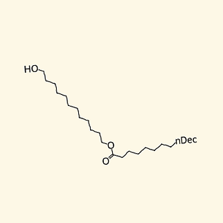 CCCCCCCCCCCCCCCCCC(=O)OCCCCCCCCCCCCO